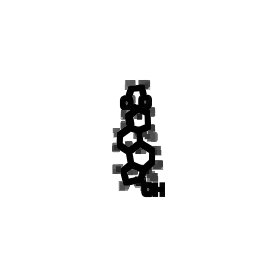 C[C@@]12CCC3(C=C1CCC1C2CC[C@]2(C)C1CC[C@H]2O)OCCO3